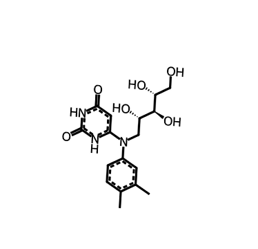 Cc1ccc(N(C[C@H](O)[C@H](O)[C@H](O)CO)c2cc(=O)[nH]c(=O)[nH]2)cc1C